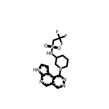 O=S(=O)(CC(F)(F)F)NC1CCCN(c2nncc3cnc4[nH]ccc4c23)C1